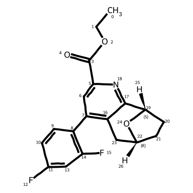 CCOC(=O)c1cc(-c2ccc(F)cc2F)c2c(n1)[C@@H]1CC[C@H](C2)O1